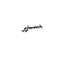 CCN1CCN(C(=O)CCOCCOCCOC(C)C)CC1